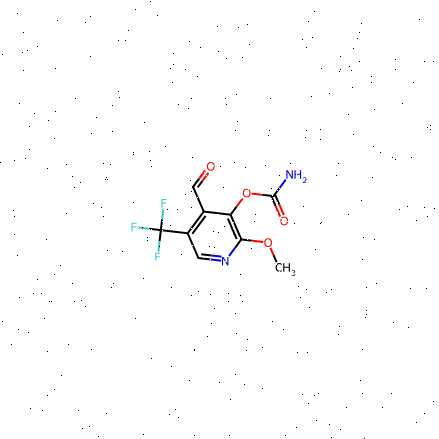 COc1ncc(C(F)(F)F)c(C=O)c1OC(N)=O